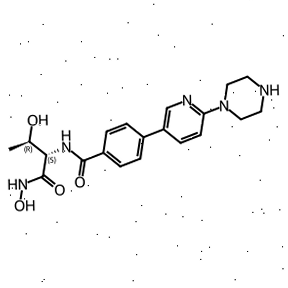 C[C@@H](O)[C@H](NC(=O)c1ccc(-c2ccc(N3CCNCC3)nc2)cc1)C(=O)NO